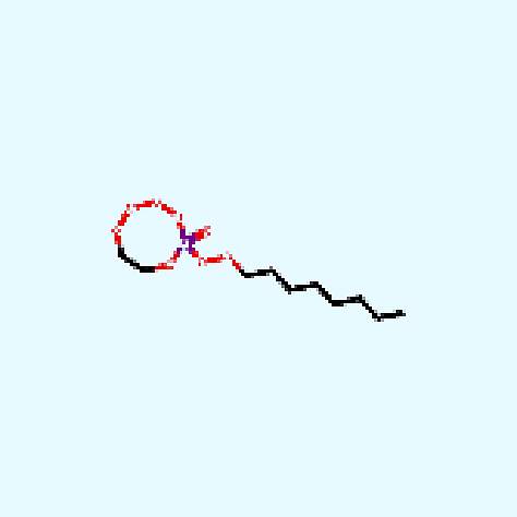 CCCCCCCCOOP1(=O)OCCOOOO1